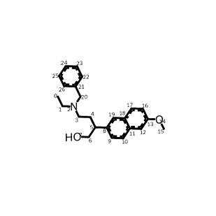 CCN(CCC(CO)c1ccc2cc(OC)ccc2c1)Cc1ccccc1